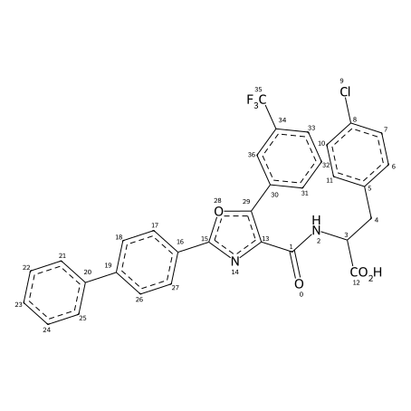 O=C(NC(Cc1ccc(Cl)cc1)C(=O)O)c1nc(-c2ccc(-c3ccccc3)cc2)oc1-c1cccc(C(F)(F)F)c1